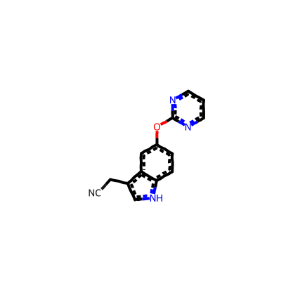 N#CCc1c[nH]c2ccc(Oc3ncccn3)cc12